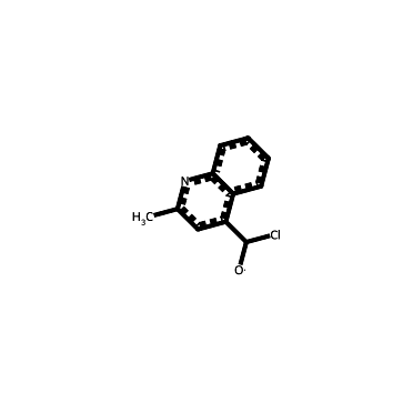 Cc1cc(C([O])Cl)c2ccccc2n1